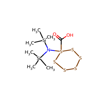 C[Si](C)(C)N([Si](C)(C)C)S1(C(=O)O)SSSSS1